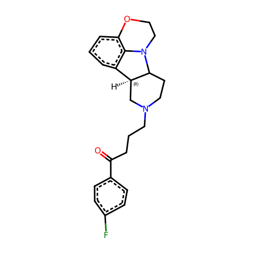 O=C(CCCN1CCC2[C@@H](C1)c1cccc3c1N2CCO3)c1ccc(F)cc1